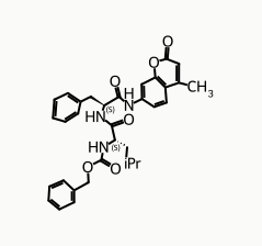 Cc1cc(=O)oc2cc(NC(=O)[C@H](Cc3ccccc3)NC(=O)[C@H](CC(C)C)NC(=O)OCc3ccccc3)ccc12